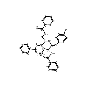 Cc1ccc(S[C@@H]2O[C@H](COC(=O)c3ccccc3)[C@H](OC(=O)c3ccccc3)[C@H](O)[C@H]2OC(=O)c2ccccc2)cc1